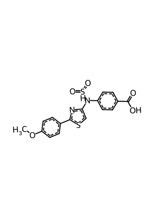 COc1ccc(-c2nc(N(c3ccc(C(=O)O)cc3)[SH](=O)=O)cs2)cc1